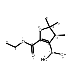 CCOC(=O)C1=C(B(O)O)[C@H](C)C(C)(C)O1